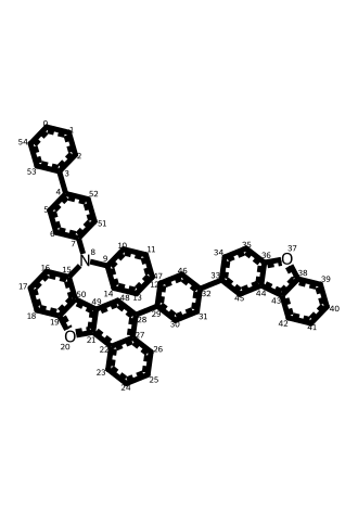 c1ccc(-c2ccc(N(c3ccccc3)c3cccc4oc5c6ccccc6c(-c6ccc(-c7ccc8oc9ccccc9c8c7)cc6)cc5c34)cc2)cc1